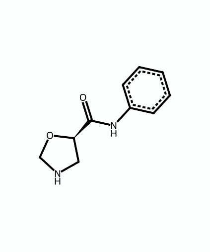 O=C(Nc1ccccc1)[C@H]1CNCO1